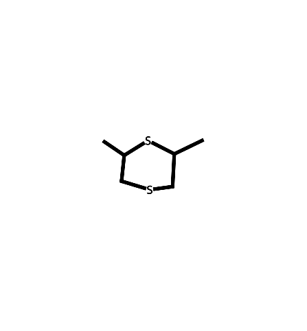 CC1CSCC(C)S1